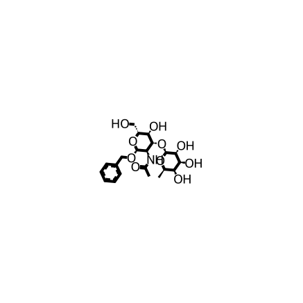 CC(=O)N[C@H]1[C@@H](OCc2ccccc2)O[C@H](CO)[C@H](O)[C@@H]1O[C@@H]1O[C@H](C)[C@H](O)[C@H](O)[C@H]1O